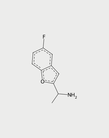 CC(N)c1cc2cc(F)ccc2o1